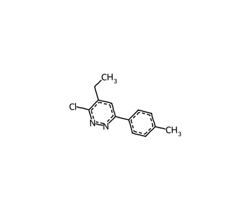 CCc1cc(-c2ccc(C)cc2)nnc1Cl